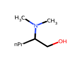 CCCC(CO)N(C)C